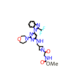 COC(=O)NCC(=O)N1CC(CNc2cc(-n3c(C(F)F)nc4ccccc43)nc(N3CCCOCC3)n2)C1